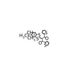 CC(C)(C)c1ccc2c(c1)SC(=C(C(=O)c1cccs1)C(=O)c1cccs1)S2